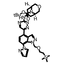 CC(C)(C)OC(=O)N1[C@@H]2COC[C@H]1CC(Nc1ncc(-c3ccc(-n4cccn4)c4c3cnn4COCC[Si](C)(C)C)nn1)C2